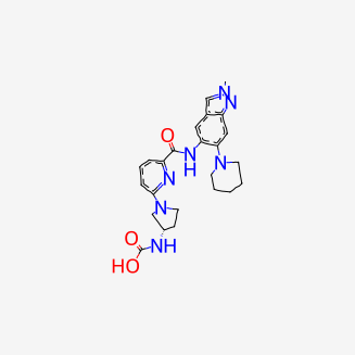 Cn1cc2cc(NC(=O)c3cccc(N4CC[C@H](NC(=O)O)C4)n3)c(N3CCCCC3)cc2n1